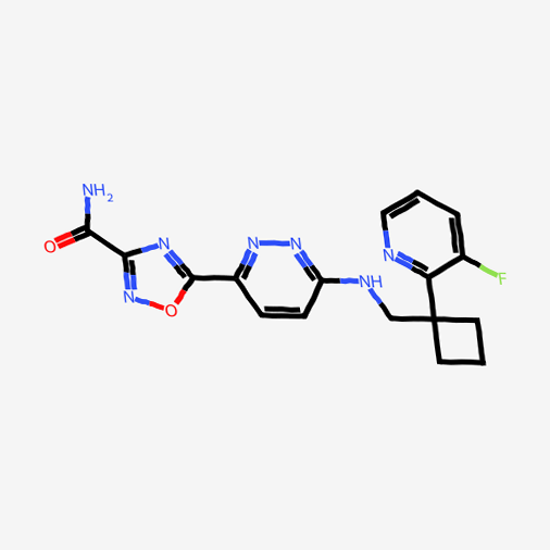 NC(=O)c1noc(-c2ccc(NCC3(c4ncccc4F)CCC3)nn2)n1